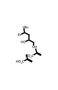 C=C(C)C(=O)O.C=C(C)C(=O)O.CCCCC(CC)CC(O)CO